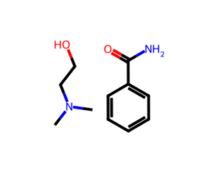 CN(C)CCO.NC(=O)c1ccccc1